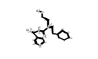 CC(=O)SCCN(CCC1CCCCC1)C(=O)NC(C)c1ccncc1